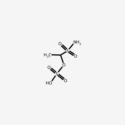 CC(OS(=O)(=O)O)S(N)(=O)=O